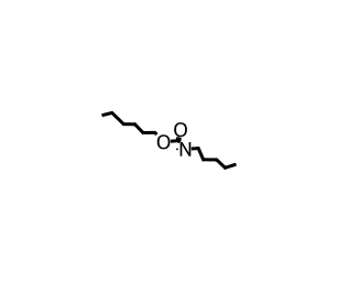 CCCCCCOC(=O)[N]CCCCC